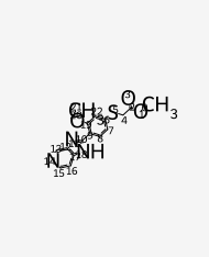 COC(=O)CSc1ccc(-c2nc3cnccc3[nH]2)c(OC)c1